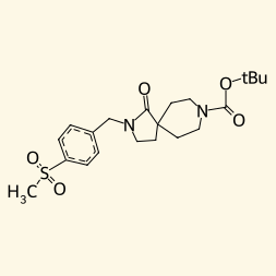 CC(C)(C)OC(=O)N1CCC2(CC1)CCN(Cc1ccc(S(C)(=O)=O)cc1)C2=O